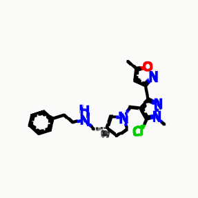 Cc1cc(-c2nn(C)c(Cl)c2CN2CC[C@H](CNCCc3ccccc3)C2)no1